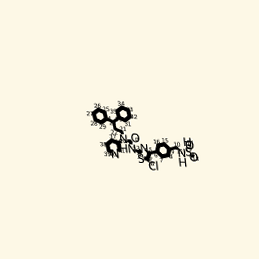 O=C(Nc1nc(-c2ccc(CN[SH](=O)=O)cc2)c(Cl)s1)N(CCC(c1ccccc1)c1ccccc1)c1cccnc1